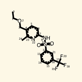 CCOCc1ccc(NS(=O)(=O)c2cccc(C(F)(F)F)c2)nc1C